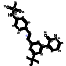 CC(C)(C)c1cc(/C=C/c2ccc(NS(C)(=O)=O)cn2)cc(-c2ccc[nH]c2=O)c1